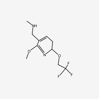 CNCC1=CCC(OCC(F)(F)F)N=C1OC